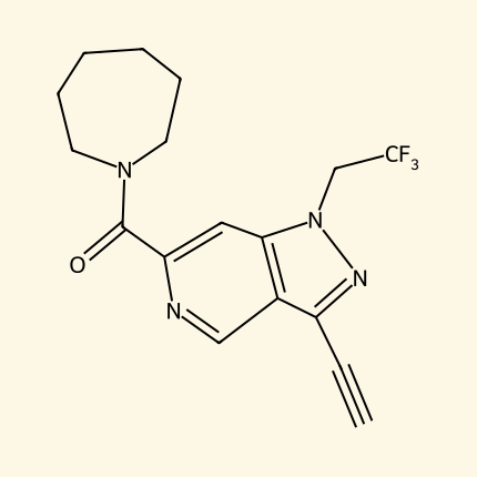 C#Cc1nn(CC(F)(F)F)c2cc(C(=O)N3CCCCCC3)ncc12